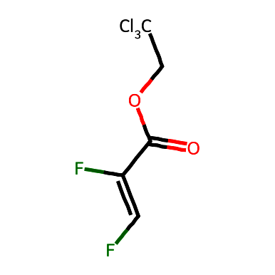 O=C(OCC(Cl)(Cl)Cl)C(F)=CF